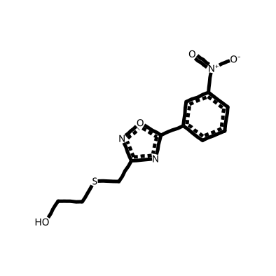 O=[N+]([O-])c1cccc(-c2nc(CSCCO)no2)c1